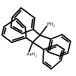 PC(c1ccccc1)(c1ccccc1)C([AsH2])(c1ccccc1)c1ccccc1